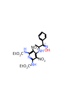 CCOC(=O)Nc1nc(NC(=O)OCC)c([N+](=O)[O-])c(NC(C)/C(=N\O)c2ccccc2)c1[N+](=O)[O-]